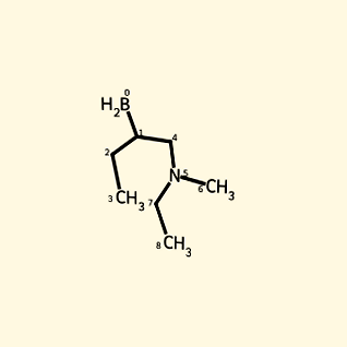 BC(CC)CN(C)CC